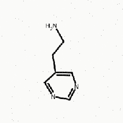 NCCc1cncnc1